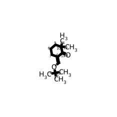 CC(C)(C)OC=C1CCCC(C)(C)C1=O